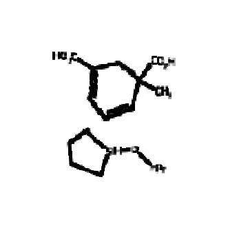 CC1(C(=O)O)C=CC=C(C(=O)O)C1.CCCO[SiH]1CCCC1